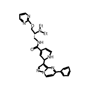 CCN(CC)[C@H](CNC(=O)C1=CC(c2cnn3ccc(-c4ccccc4)nc23)NC=C1)COc1ncccn1